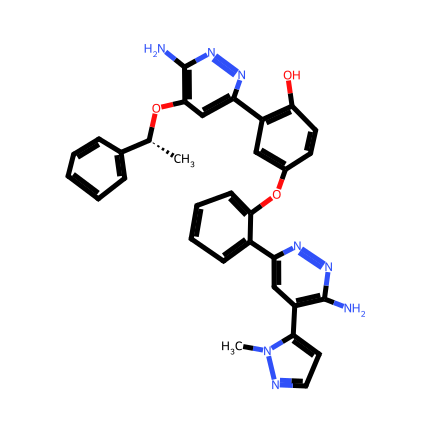 C[C@@H](Oc1cc(-c2cc(Oc3ccccc3-c3cc(-c4ccnn4C)c(N)nn3)ccc2O)nnc1N)c1ccccc1